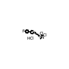 Cc1nc(Cl)c(Cl)n1CCCCN1CC=C(c2ccc(F)cc2)CC1.Cl